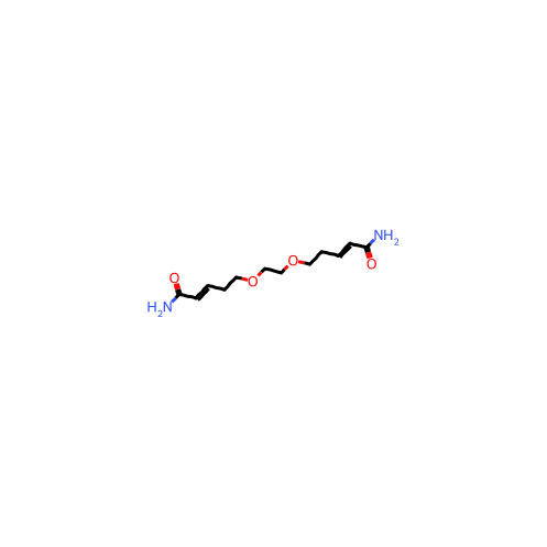 NC(=O)C=CCCOCCOCCC=CC(N)=O